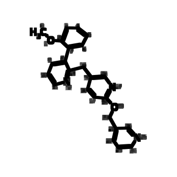 COc1ccccc1-c1cccnc1Cc1ccc(OCc2cccnc2)nc1